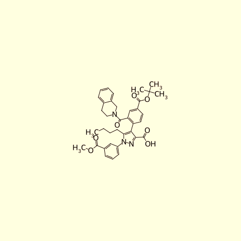 CCCCc1c(-c2ccc(C(=O)OC(C)(C)C)cc2C(=O)N2CCc3ccccc3C2)c(C(=O)O)nn1-c1cccc(C(=O)OC)c1